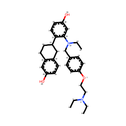 CCN(CC)CCOc1ccc(CN(CC)c2cc(O)ccc2C2CCc3cc(O)ccc3C2)cc1